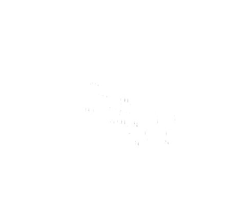 CCOCc1nc2cnc3ccccc3c2n1CC(C)(C)C(=O)OCC